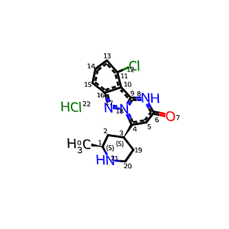 C[C@H]1C[C@@H](c2cc(=O)[nH]c3c4c(Cl)cccc4nn23)CCN1.Cl